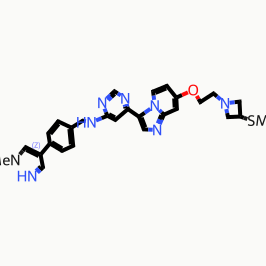 CN/C=C(\C=N)c1ccc(CNc2cc(-c3cnc4cc(OCCN5CC(SC)C5)ccn34)ncn2)cc1